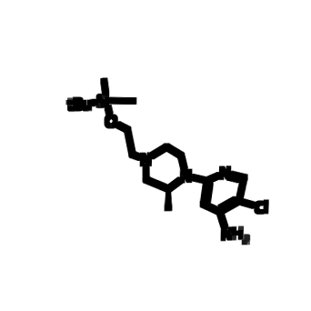 C[C@H]1CN(CCO[Si](C)(C)C(C)(C)C)CCN1c1cc(N)c(Cl)cn1